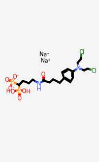 O=C(CCCc1ccc(N(CCCl)CCCl)cc1)NCCCC(P(=O)([O-])[O-])P(=O)(O)O.[Na+].[Na+]